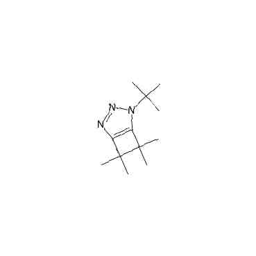 CC(C)(C)n1nnc2c1C(C)(C)C2(C)C